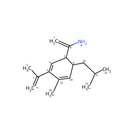 C=C(C)C1=CC(C(=C)N)C(CC(C)C)C=C1C